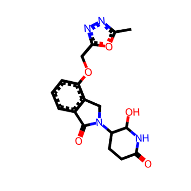 Cc1nnc(COc2cccc3c2CN(C2CCC(=O)NC2O)C3=O)o1